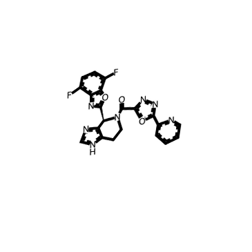 O=C(c1nnc(-c2ccccn2)o1)N1CCc2[nH]cnc2[C@H]1c1nc2c(F)ccc(F)c2o1